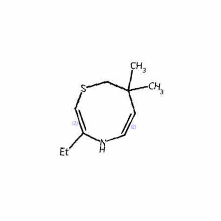 CC/C1=C/SCC(C)(C)/C=C\N1